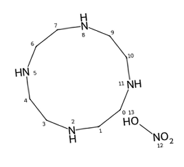 C1CNCCNCCNCCN1.O=[N+]([O-])O